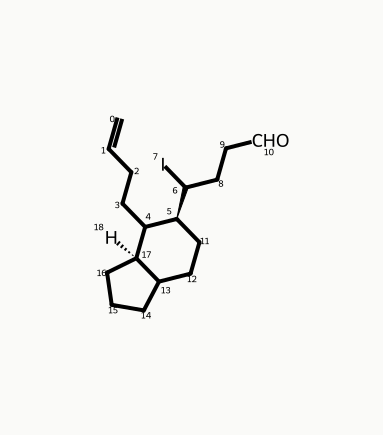 C=CCCC1[C@@H](C(I)CCC=O)CCC2CCC[C@H]21